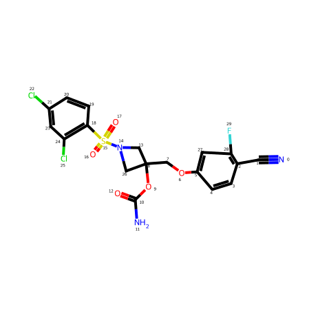 N#Cc1ccc(OCC2(OC(N)=O)CN(S(=O)(=O)c3ccc(Cl)cc3Cl)C2)cc1F